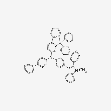 Cn1c(-c2ccccc2)c(-c2ccc(N(c3ccc(-c4ccccc4)cc3)c3ccc4c(c3)C(c3ccccc3)(c3ccccc3)c3ccccc3-4)cc2)c2ccccc21